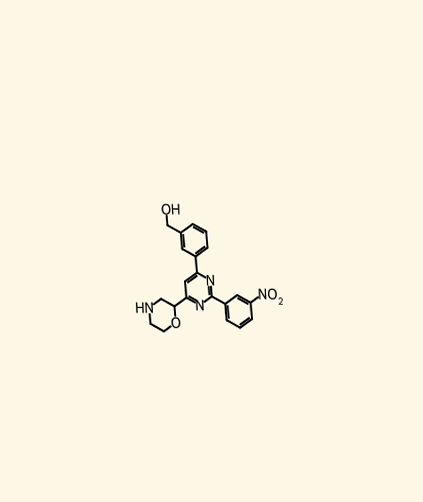 O=[N+]([O-])c1cccc(-c2nc(-c3cccc(CO)c3)cc(C3CNCCO3)n2)c1